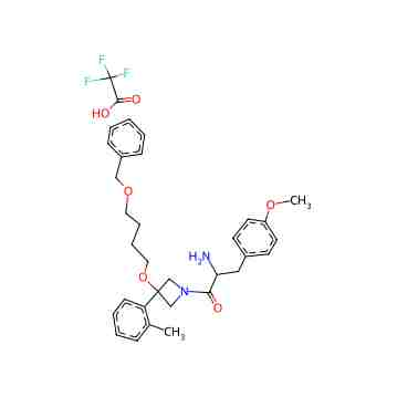 COc1ccc(CC(N)C(=O)N2CC(OCCCCOCc3ccccc3)(c3ccccc3C)C2)cc1.O=C(O)C(F)(F)F